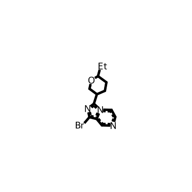 CCC1CCC(c2nc(Br)c3cnccn23)CO1